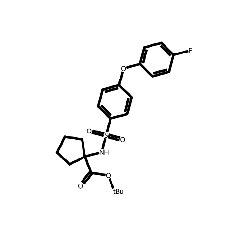 CC(C)(C)OC(=O)C1(NS(=O)(=O)c2ccc(Oc3ccc(F)cc3)cc2)CCCC1